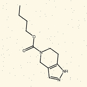 CCCCOC(=O)N1CCc2[nH]ncc2C1